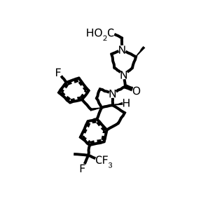 C[C@H]1CN(C(=O)N2CC[C@@]3(Cc4ccc(F)cc4)c4ccc(C(C)(F)C(F)(F)F)cc4CC[C@@H]23)CCN1CC(=O)O